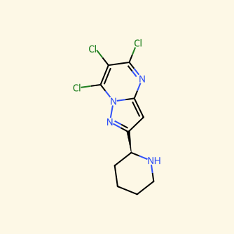 Clc1nc2cc([C@@H]3CCCCN3)nn2c(Cl)c1Cl